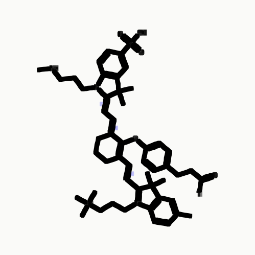 CNCCCN1/C(=C/C=C2\CCCC(/C=C/C3=[N+](CCC[N+](C)(C)C)c4ccc(C)cc4C3(C)C)=C2Oc2ccc(CC[C](=O)[Tl])cc2)C(C)(C)c2cc(S(=O)(=O)O)ccc21